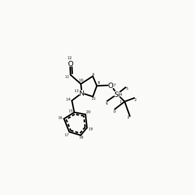 CC(C)(C)[Si](C)(C)OC1CC(C=O)N(Cc2ccccc2)C1